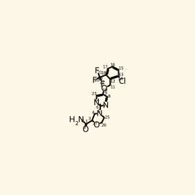 NC(=O)C1CN(c2ncc(OCc3c(Cl)cccc3C(F)(F)F)cn2)CCO1